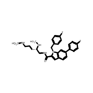 O=C(O)NCCC[C@@H](CNC(=O)c1cc2ccc(-c3ccc(F)cc3)cc2n1Cc1ccc(F)cc1)NC(=O)O